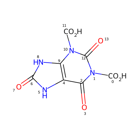 O=C(O)n1c(=O)c2[nH]c(=O)[nH]c2n(C(=O)O)c1=O